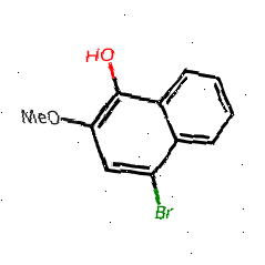 COc1cc(Br)c2ccccc2c1O